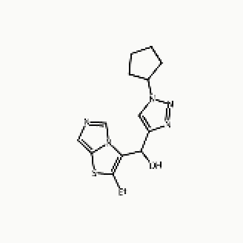 CCc1sc2cncn2c1C(O)c1cn(C2CCCC2)nn1